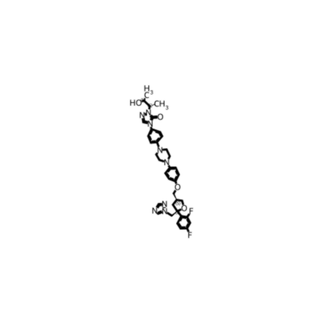 C[C@H](O)[C@H](C)n1ncn(-c2ccc(N3CCN(c4ccc(OC[C@H]5CO[C@](Cn6cncn6)(c6ccc(F)cc6F)C5)cc4)CC3)cc2)c1=O